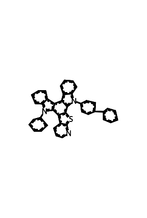 c1ccc(-c2ccc(-n3c4ccccc4c4c5c6ccccc6n(-c6ccccc6)c5c5c6cccnc6sc5c43)cc2)cc1